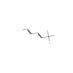 CCCC=CC=CC(C)(C)C(C)C